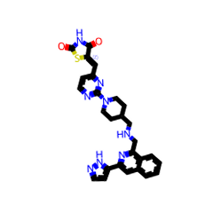 O=C1NC(=O)/C(=C/c2ccnc(N3CCC(CNCc4nc(-c5ccn[nH]5)cc5ccccc45)CC3)n2)S1